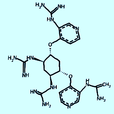 C=C(N)Nc1cnccc1O[C@H]1C[C@@H](Oc2ccncc2NC(=N)N)[C@H](NC(=N)N)C[C@@H]1NC(=N)N